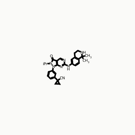 CC(C)n1c(=O)c2cnc(Nc3ccc4c(c3)CCNC4(C)C)nc2n1-c1cccc(C2(C#N)CC2)c1